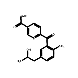 COC(=O)c1ccc(C(=O)c2cc(CC(C)O)ccc2C)nc1